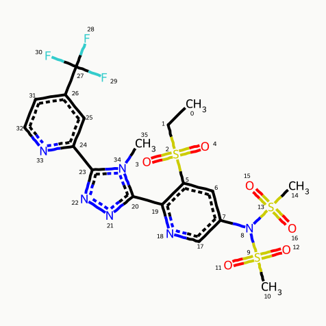 CCS(=O)(=O)c1cc(N(S(C)(=O)=O)S(C)(=O)=O)cnc1-c1nnc(-c2cc(C(F)(F)F)ccn2)n1C